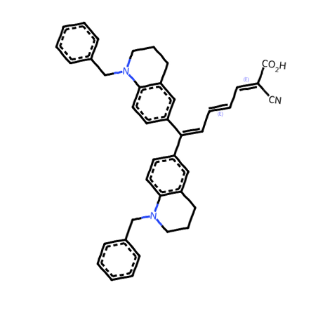 N#C/C(=C\C=C\C=C(c1ccc2c(c1)CCCN2Cc1ccccc1)c1ccc2c(c1)CCCN2Cc1ccccc1)C(=O)O